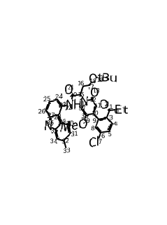 CCC(=O)c1ccc(Cl)cc1-c1cc(=O)n(C(CCOC(C)(C)C)C(=O)Nc2cccc3c2=C2C=CC(C)C=C2N=3)cc1OC